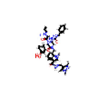 C=CCNCC(=O)N1[C@@H](NC(=O)NCc2ccccc2)CN(Cc2cccc3c(C(=O)N(C)Cc4c(C)nn(C)c4C)cn(C)c23)C(=O)[C@@H]1Cc1ccc(O)cc1